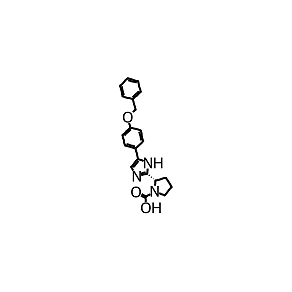 O=C(O)N1CCC[C@H]1c1ncc(-c2ccc(OCc3ccccc3)cc2)[nH]1